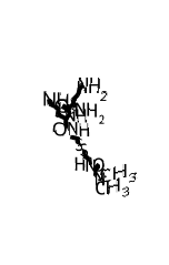 CN(C)CC(=O)NCCSSCCNC(=O)C(CCCN)NC(=O)C(N)CCCN